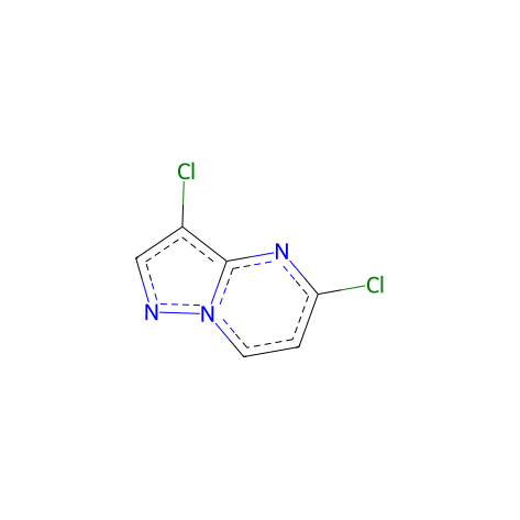 Clc1ccn2ncc(Cl)c2n1